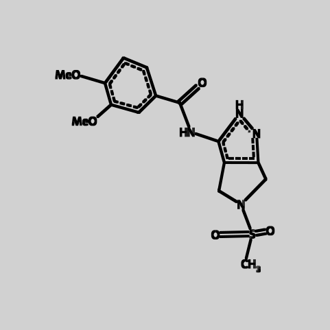 COc1ccc(C(=O)Nc2[nH]nc3c2CN(S(C)(=O)=O)C3)cc1OC